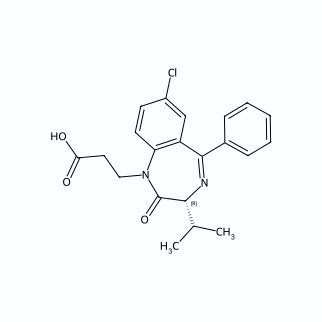 CC(C)[C@H]1N=C(c2ccccc2)c2cc(Cl)ccc2N(CCC(=O)O)C1=O